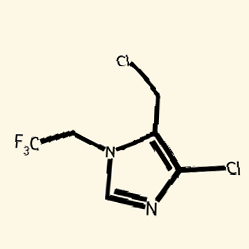 FC(F)(F)Cn1cnc(Cl)c1CCl